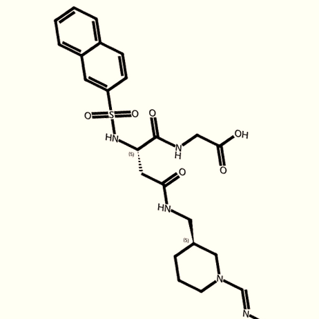 NN=CN1CCC[C@@H](CNC(=O)C[C@H](NS(=O)(=O)c2ccc3ccccc3c2)C(=O)NCC(=O)O)C1